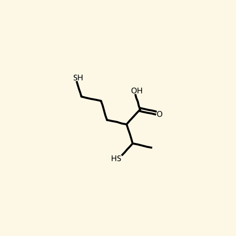 CC(S)C(CCCS)C(=O)O